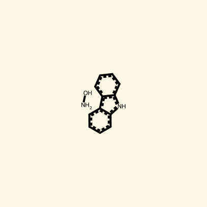 NO.c1ccc2c(c1)[nH]c1ccccc12